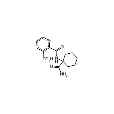 NC(=O)C1(NC(=O)c2ncccc2C(=O)O)CCCCC1